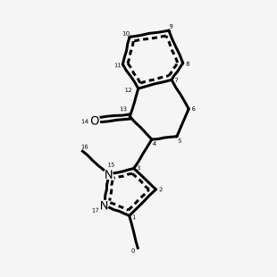 Cc1cc(C2CCc3ccccc3C2=O)n(C)n1